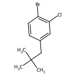 CC(C)(C)Cc1ccc(Br)c(Cl)c1